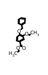 CCOC(=O)c1ccc(OCc2ccccc2)c(OCC)c1